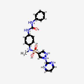 CN(c1ccc(NC(=O)Nc2ccccc2)cc1)S(=O)(=O)c1cnn(-c2ncccn2)c1